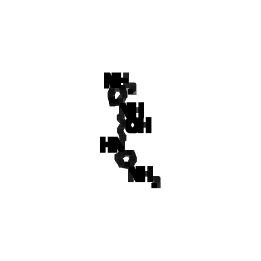 Nc1ccc(NCCC(O)CNc2ccc(N)cc2)cc1